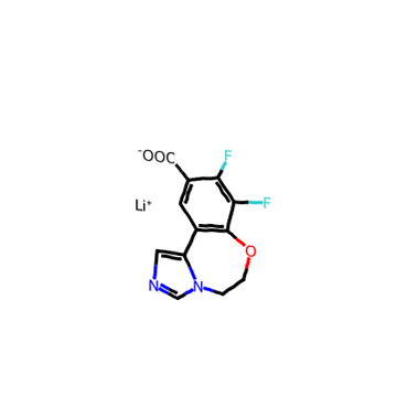 O=C([O-])c1cc2c(c(F)c1F)OCCn1cncc1-2.[Li+]